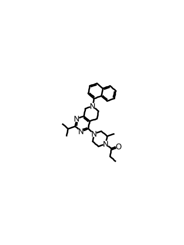 CCC(=O)N1CCN(c2nc(C(C)C)nc3c2CCN(c2cccc4ccccc24)C3)CC1C